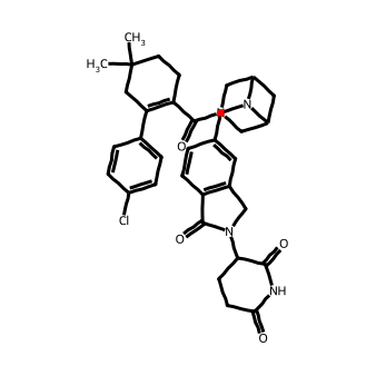 CC1(C)CCC(C(=O)N2CC3CC(C2)N3Cc2ccc3c(c2)CN(C2CCC(=O)NC2=O)C3=O)=C(c2ccc(Cl)cc2)C1